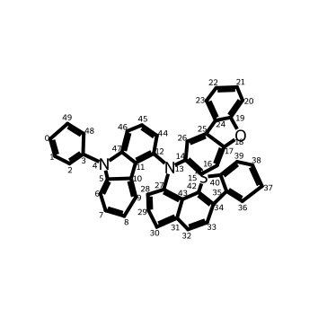 c1ccc(-n2c3ccccc3c3c(N(c4ccc5oc6ccccc6c5c4)c4cccc5ccc6c7ccccc7sc6c45)cccc32)cc1